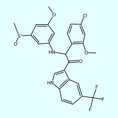 COc1cc(NC(C(=O)c2c[nH]c3ccc(C(F)(F)F)cc23)c2ccc(Cl)cc2OC)cc([S+](C)[O-])c1